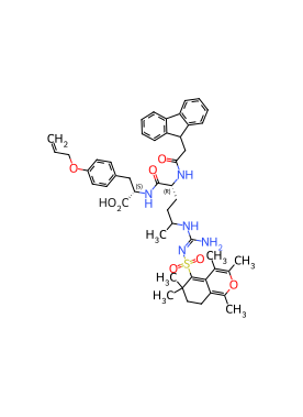 C=CCOc1ccc(C[C@H](NC(=O)[C@@H](CCC(C)NC(N)=NS(=O)(=O)C2=C3C(C)=C(C)OC(C)=C3CCC2(C)C)NC(=O)CC2c3ccccc3-c3ccccc32)C(=O)O)cc1